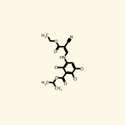 CCOC(=O)C(C#N)=CNc1cc(Cl)c(Cl)c(C(=O)OC(C)C)c1Cl